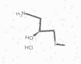 CSC[C@@H](O)CN.Cl